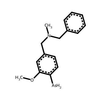 COc1cc(CN(C)Cc2ccccc2)ccc1[AsH2]